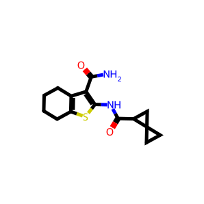 NC(=O)c1c(NC(=O)C2CC23CC3)sc2c1CCCC2